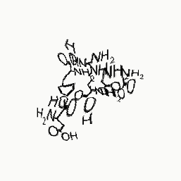 N=C(N)NCCCC(N)C(=O)O.NC(CC(=O)O)C(=O)O.NC(Cc1ccccc1)C(=O)O.NCC(=O)O.NCC(=O)O